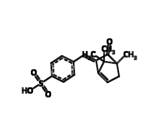 CC1(C)C2=CCC1(C)C(=O)C2=Cc1ccc(S(=O)(=O)O)cc1